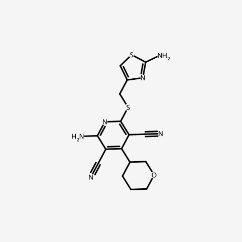 N#Cc1c(N)nc(SCc2csc(N)n2)c(C#N)c1C1CCCOC1